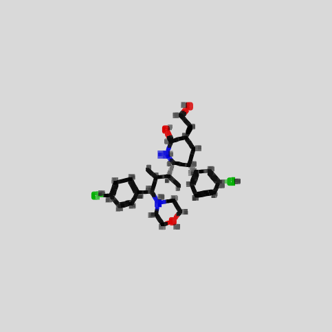 CC(C(C)[C@@H]1NC(=O)[C@@H](CC=O)C[C@@H]1c1cccc(Cl)c1)C(c1ccc(Cl)cc1)N1CCOCC1